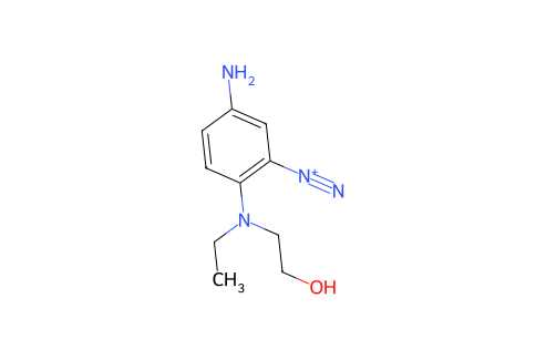 CCN(CCO)c1ccc(N)cc1[N+]#N